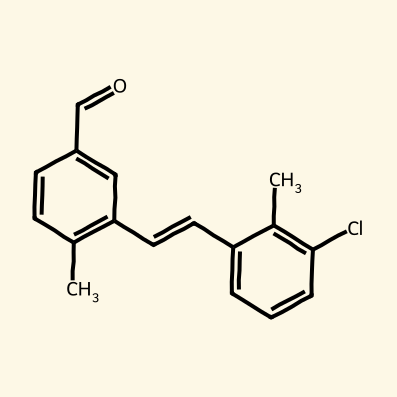 Cc1ccc(C=O)cc1/C=C/c1cccc(Cl)c1C